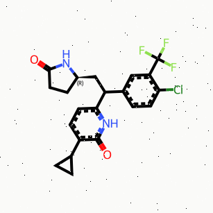 O=C1CC[C@H](CC(c2ccc(Cl)c(C(F)(F)F)c2)c2ccc(C3CC3)c(=O)[nH]2)N1